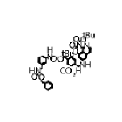 CC(C)(C)OC(=O)N(C(=O)OC(C)(C)C)c1nccc2cc(NC(C(=O)O)c3ccc(COCONc4cccc(CNC(=O)OCc5ccccc5)c4)cc3)ccc12